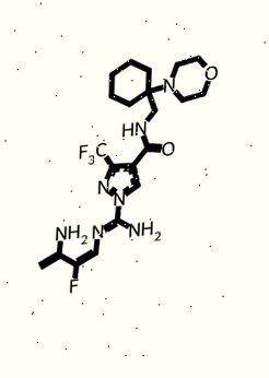 C=C(N)/C(F)=C\N=C(/N)n1cc(C(=O)NCC2(N3CCOCC3)CCCCC2)c(C(F)(F)F)n1